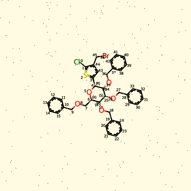 Clc1sc([C@@H]2O[C@H](COCc3ccccc3)[C@@H](OCc3ccccc3)[C@H](OCc3ccccc3)[C@H]2OCc2ccccc2)cc1CBr